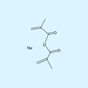 C=C(C)C(=O)OC(=O)C(=C)C.[Na]